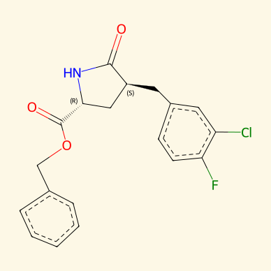 O=C1N[C@@H](C(=O)OCc2ccccc2)C[C@@H]1Cc1ccc(F)c(Cl)c1